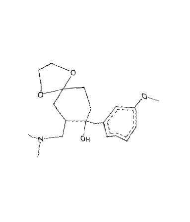 COc1cccc(C2(O)CCC3(CC2CN(C)C)OCCO3)c1